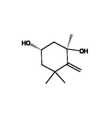 C=C1C(C)(C)C[C@H](O)C[C@@]1(C)O